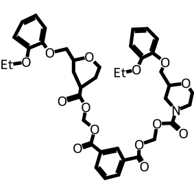 CCOc1ccccc1OCC1CC(C(=O)OCOC(=O)c2cccc(C(=O)OCOC(=O)N3CCOC(COc4ccccc4OCC)C3)c2)CCO1